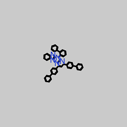 c1ccc(-c2ccc(-c3cc(-c4ccc(-c5ccccc5)cc4)nc(N4c5ccccc5-c5ccccc5-n5c4nc4ccccc45)n3)cc2)cc1